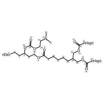 CCCCCCCCCCCCC(CCOC(=O)CCCCCC(COC(=O)CCCCCCC)COC(=O)CCCCCCC)OC(=O)OCCN(C)C